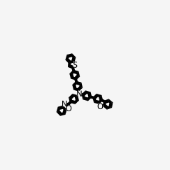 c1ccc2sc(-c3ccc(-c4ccc(N(c5ccc(-c6ccc7c(c6)oc6ccccc67)cc5)c5ccc(-c6nc7ccccc7o6)cc5)cc4)cc3)cc2c1